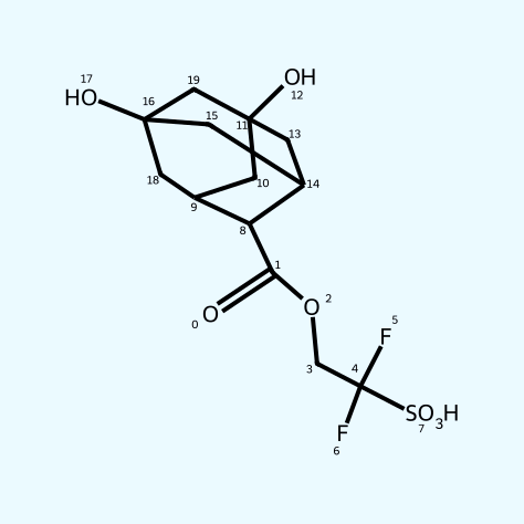 O=C(OCC(F)(F)S(=O)(=O)O)C1C2CC3(O)CC1CC(O)(C2)C3